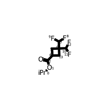 CC(C)OC(=O)C1CC(C(F)F)(C(F)F)C1